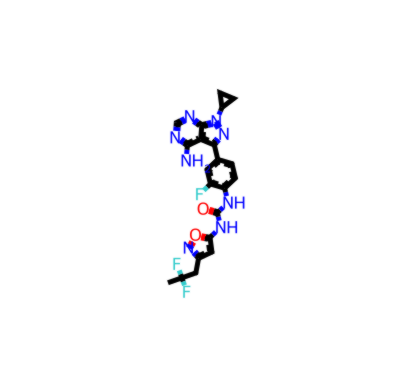 CC(F)(F)Cc1cc(NC(=O)Nc2ccc(-c3nn(C4CC4)c4ncnc(N)c34)cc2F)on1